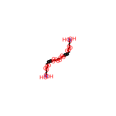 CC(C(=O)OCC(=O)OCCCCON(O)O)c1ccc2cc(OC(=O)COC(=O)CC(=O)OCC(=O)Oc3ccc4ccc(C(C)C(=O)OCC(=O)OCCCCON(O)O)cc4c3)ccc2c1